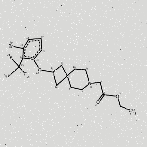 CCOC(=O)CN1CCC2(CC1)CC(Oc1cccc(Br)c1C(F)(F)F)C2